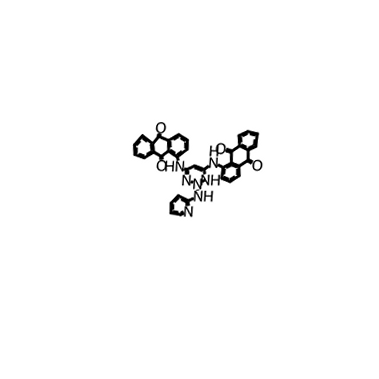 O=C1c2ccccc2C(=O)c2c(NC3=CC(Nc4cccc5c4C(=O)c4ccccc4C5=O)=NN(Nc4ccccn4)N3)cccc21